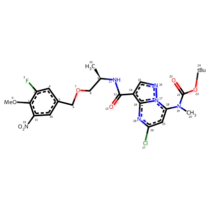 COc1c(F)cc(COC[C@@H](C)NC(=O)c2cnn3c(N(C)C(=O)OC(C)(C)C)cc(Cl)nc23)cc1[N+](=O)[O-]